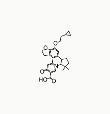 CC1(C)CCC2c3cc(OCCC4CC4)c4c(c3-c3cc(=O)c(C(=O)O)cn3C21)CCO4